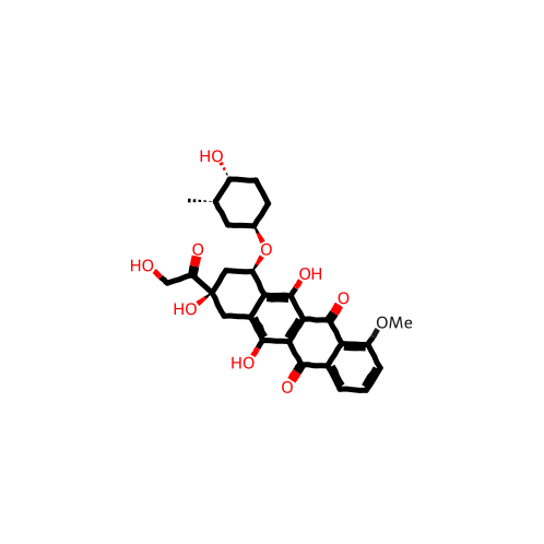 COc1cccc2c1C(=O)c1c(O)c3c(c(O)c1C2=O)C[C@](O)(C(=O)CO)C[C@H]3O[C@@H]1CC[C@@H](O)[C@@H](C)C1